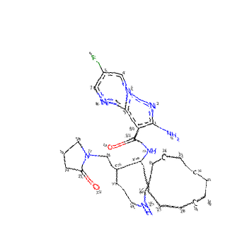 Nc1nn2cc(F)cnc2c1C(=O)NC1C(CN2CCCC2=O)CCNC12CCCCCCCCC2